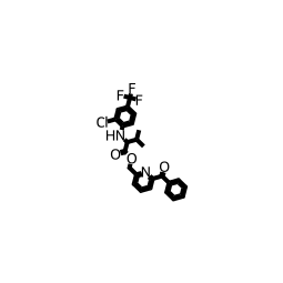 CC(C)C(Nc1ccc(C(F)(F)F)cc1Cl)C(=O)OCc1cccc(C(=O)c2ccccc2)n1